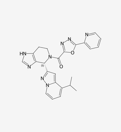 CC(C)c1cccn2nc([C@@H]3c4nc[nH]c4CCN3C(=O)c3nnc(-c4ccccn4)o3)cc12